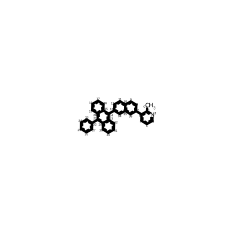 Cc1ncccc1-c1ccc2ccc(-c3c4ccccc4c(-c4ccccc4)c4ccccc34)cc2c1